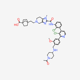 COc1cc(-c2nccc(-c3cccc(NC(=O)c4nc5c(n4C)CCN(CCC46CCC(C(=O)O)(CC4)C6)C5)c3Cl)c2Cl)ccc1CNC1CCN(C(C)=O)CC1